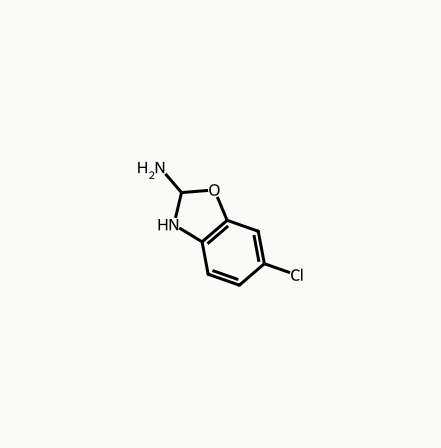 NC1Nc2ccc(Cl)cc2O1